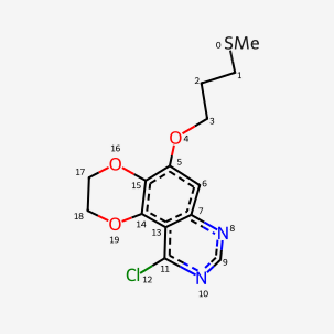 CSCCCOc1cc2ncnc(Cl)c2c2c1OCCO2